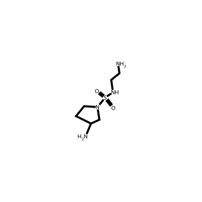 NCCNS(=O)(=O)N1CCC(N)C1